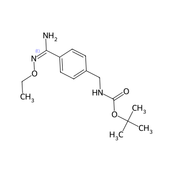 CCO/N=C(/N)c1ccc(CNC(=O)OC(C)(C)C)cc1